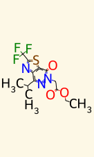 CCOC(=O)Cn1nc(C(C)C)c2nc(C(F)(F)F)sc2c1=O